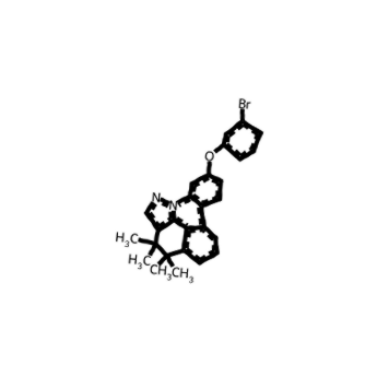 CC1(C)c2cccc3c4ccc(Oc5cccc(Br)c5)cc4n4ncc(c4c23)C1(C)C